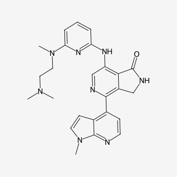 CN(C)CCN(C)c1cccc(Nc2cnc(-c3ccnc4c3ccn4C)c3c2C(=O)NC3)n1